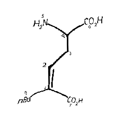 CCCCC(=CCC(N)C(=O)O)C(=O)O